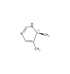 CC1=CN=[C]N[C@H]1C